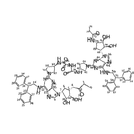 CCC(=O)C[C@H]1C[C@@H](n2cnc3c(NCC(c4ccccc4)c4ccccc4)nc(N4CC[C@@H](NS(=O)(=O)NC(=O)N[C@@H]5CCN(c6nc(NCC(c7ccccc7)c7ccccc7)c7ncn([C@@H]8C[C@H](NC(=O)CC)[C@@H](O)[C@H]8O)c7n6)C5)C4)nc32)[C@H](O)[C@@H]1O